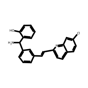 NC(c1cccc(/C=C/c2ccc3ccc(Cl)cc3n2)c1)c1ccccc1O